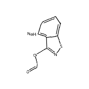 O=COc1nsc2ccccc12.[NaH]